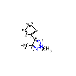 Cc1nn(C)nc1-c1ccccc1